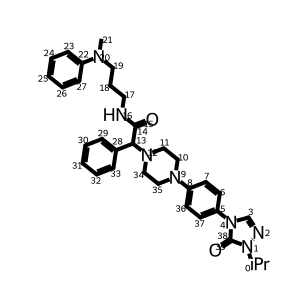 CC(C)n1ncn(-c2ccc(N3CCN(C(C(=O)NCCCN(C)c4ccccc4)c4ccccc4)CC3)cc2)c1=O